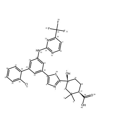 CC1(C)C[C@](O)(c2ncc(-c3cc(Nc4nccc(C(F)(F)F)n4)cc(-c4ccccc4Cl)c3)s2)CC[C@H]1C(=O)O